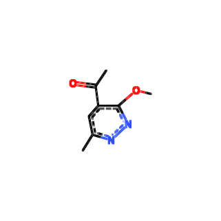 COc1nnc(C)cc1C(C)=O